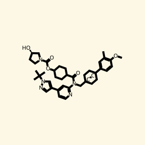 COc1ccc(C23CCC(CN(C(=O)C4CCC(OC(=O)N5CC[C@@H](O)C5)CC4)c4cc(-c5cnn(C(C)(C)C)c5)ccn4)(CC2)CC3)cc1C